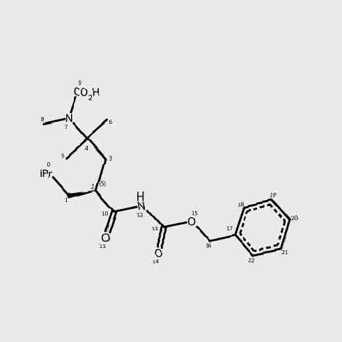 CC(C)C[C@@H](CC(C)(C)N(C)C(=O)O)C(=O)NC(=O)OCc1ccccc1